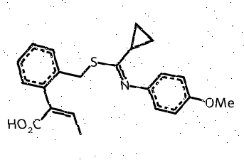 CC=C(C(=O)O)c1ccccc1CSC(=Nc1ccc(OC)cc1)C1CC1